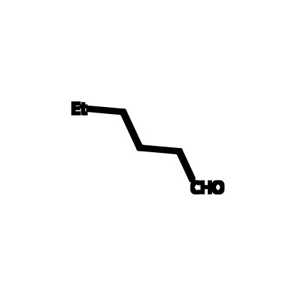 [CH2]CCCCC=O